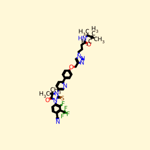 C[C@@H](NC(=O)CCCn1cc(COc2ccc(-c3ccc(N4C(=S)N(c5ccc(C#N)c(C(F)(F)F)c5F)C(=O)C4(C)C)cn3)cc2)nn1)C(C)(C)C